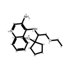 CCOCC(Nc1c(N)cnc2ccccc12)C1(O)CCCC1